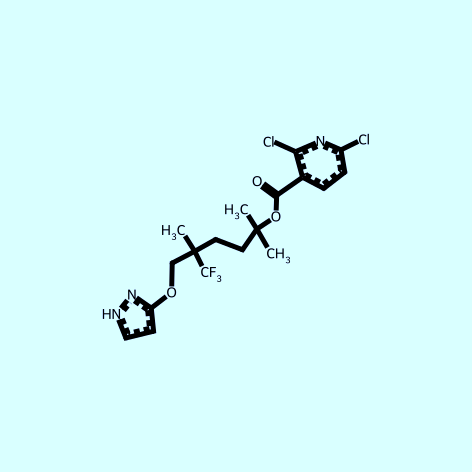 CC(C)(CCC(C)(COc1cc[nH]n1)C(F)(F)F)OC(=O)c1ccc(Cl)nc1Cl